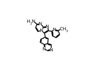 Cc1cccc(-c2nc3nc(N)ccn3c2-c2ccc3ncncc3c2)n1